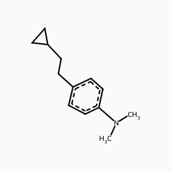 CN(C)c1ccc(CCC2CC2)cc1